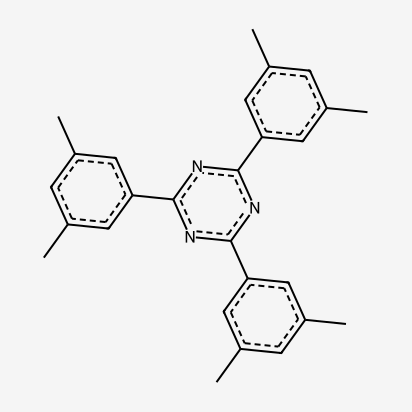 Cc1cc(C)cc(-c2nc(-c3cc(C)cc(C)c3)nc(-c3cc(C)cc(C)c3)n2)c1